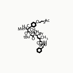 CN[C@H](C(=O)N[C@H](C(=O)N(C)[C@H](/C=C(\C)C(=O)NS(=O)(=O)Cc1ccccc1)C(C)C)C(C)(C)C)C(C)(C)c1ccc(OCCSC(C)=O)cc1